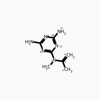 C=C(C)N(C)c1nc(N)nc(N)n1